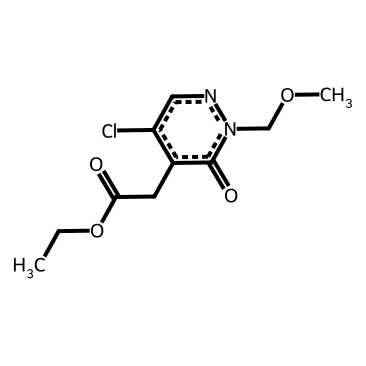 CCOC(=O)Cc1c(Cl)cnn(COC)c1=O